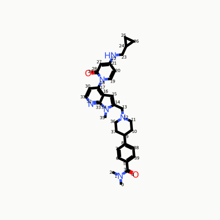 CN(C)C(=O)c1ccc(C2CCN(Cc3cc4c(-n5ccc(NCC6CC6)cc5=O)ccnc4n3C)CC2)cc1